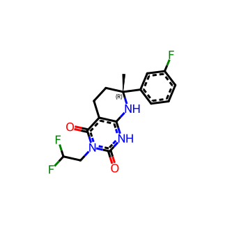 C[C@]1(c2cccc(F)c2)CCc2c([nH]c(=O)n(CC(F)F)c2=O)N1